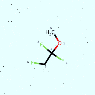 [CH2]OC(F)(F)CF